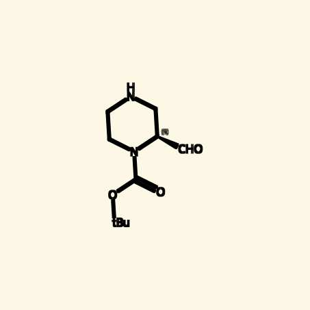 CC(C)(C)OC(=O)N1CCNC[C@H]1C=O